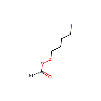 CCC(=O)OOCCCCI